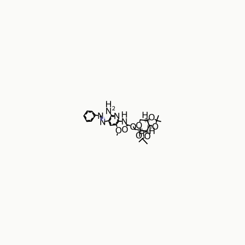 COc1cc(/N=N/c2ccccc2)c(N)nc1NC(=O)OC[C@@]12OC[C@H]3OC(C)(C)O[C@H]3[C@@H]1OC(C)(C)O2